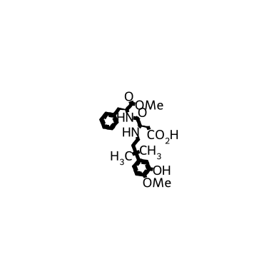 COC(=O)[C@H](Cc1ccccc1)NC(=O)[C@@H](CC(=O)O)NCCC(C)(C)c1ccc(OC)c(O)c1